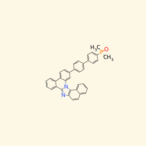 CP(C)(=O)c1ccc(-c2ccc(-c3ccc4c5ccccc5c5nc6ccc7ccccc7c6n5c4c3)cc2)cc1